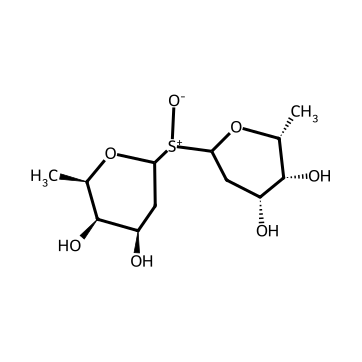 C[C@H]1OC([S+]([O-])C2C[C@@H](O)[C@@H](O)[C@@H](C)O2)C[C@@H](O)[C@H]1O